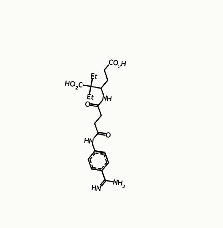 CCC(CC)(C(=O)O)C(CCC(=O)O)NC(=O)CCC(=O)Nc1ccc(C(=N)N)cc1